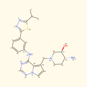 CC(C)c1nnc(-c2cccc(Nc3ncnn4ccc(CN5CC[C@@H](N)[C@H](O)C5)c34)c2)s1